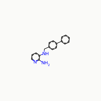 Nc1ncccc1NCc1ccc(-c2ccccc2)cc1